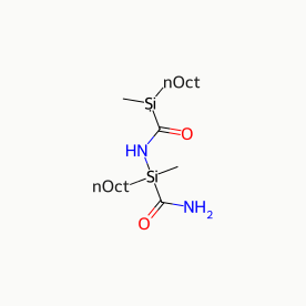 CCCCCCCC[Si](C)C(=O)N[Si](C)(CCCCCCCC)C(N)=O